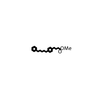 COC(=O)CCCc1ccc(CCCCCc2ccccc2)cc1